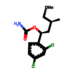 COC[C@@H](C)C[C@H](OC(N)=O)c1ccc(Cl)cc1Cl